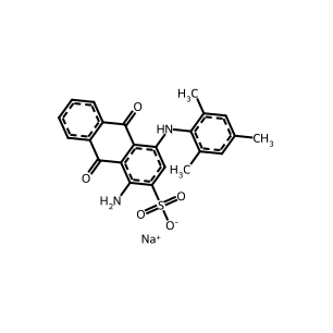 Cc1cc(C)c(Nc2cc(S(=O)(=O)[O-])c(N)c3c2C(=O)c2ccccc2C3=O)c(C)c1.[Na+]